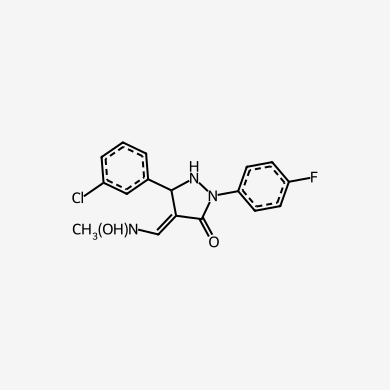 CN(O)C=C1C(=O)N(c2ccc(F)cc2)NC1c1cccc(Cl)c1